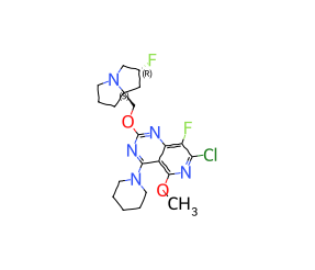 COc1nc(Cl)c(F)c2nc(OC[C@@]34CCCN3C[C@H](F)C4)nc(N3CCCCC3)c12